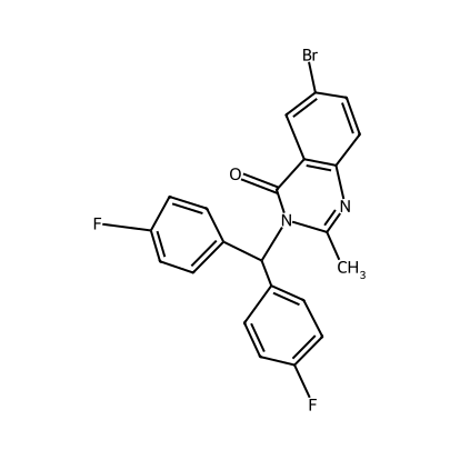 Cc1nc2ccc(Br)cc2c(=O)n1C(c1ccc(F)cc1)c1ccc(F)cc1